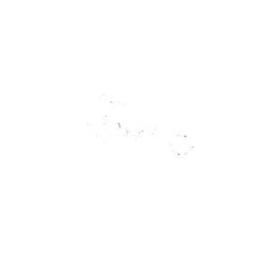 C=C1C(CC(=O)OCc2ccccc2)OC(=O)C1(CC)CC1CCCCC1